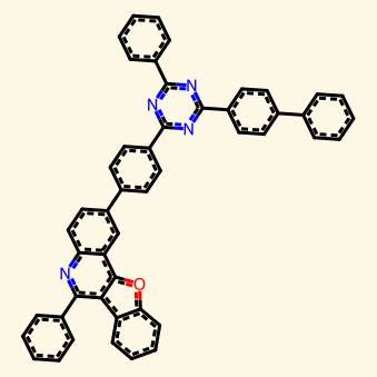 c1ccc(-c2ccc(-c3nc(-c4ccccc4)nc(-c4ccc(-c5ccc6nc(-c7ccccc7)c7c8ccccc8oc7c6c5)cc4)n3)cc2)cc1